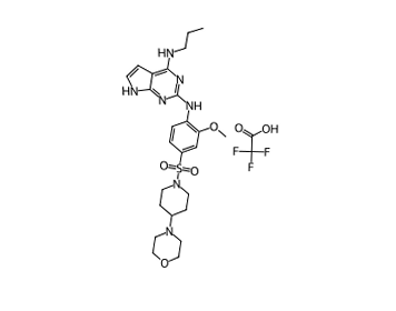 CCCNc1nc(Nc2ccc(S(=O)(=O)N3CCC(N4CCOCC4)CC3)cc2OC)nc2[nH]ccc12.O=C(O)C(F)(F)F